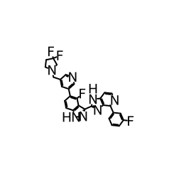 Fc1cccc(-c2nccc3[nH]c(-c4n[nH]c5ccc(-c6cncc(CN7CCC(F)(F)C7)c6)c(F)c45)nc23)c1